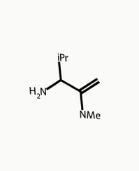 C=C(NC)C(N)C(C)C